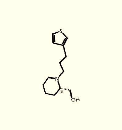 OC[C@@H]1CCCCN1CCCc1ccsc1